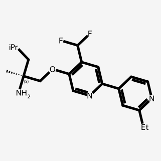 CCc1cc(-c2cc(C(F)F)c(OC[C@@](C)(N)CC(C)C)cn2)ccn1